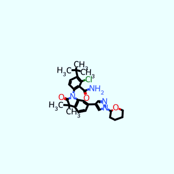 CC(C)(C)c1ccc(N2C(=O)C(C)(C)c3ccc(-c4cnn(C5CCCCO5)c4)cc32)c(C(N)=O)c1Cl